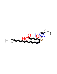 CCCCCCCCCCCC/C=C\C(Sc1nc(C)c[nH]1)C(O)CCCC(=O)O